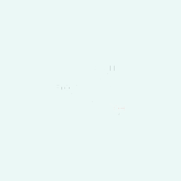 CCOC(=O)C1CC(O)CC1C(=O)O